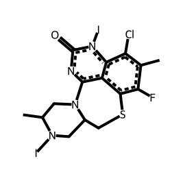 Cc1c(F)c2c3c(nc(=O)n(I)c3c1Cl)N1CC(C)N(I)CC1CS2